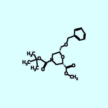 COC(=O)[C@@H]1CN(C(=O)OC(C)(C)C)C[C@H](COCc2ccccc2)O1